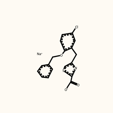 O=C([O-])c1nc(Cc2cc(Cl)ccc2OCc2ccccc2)cs1.[Na+]